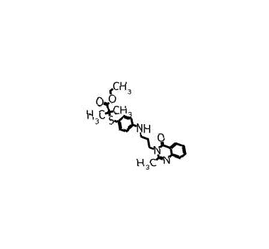 CCOC(=O)C(C)(C)Sc1ccc(NCCCn2c(C)nc3ccccc3c2=O)cc1